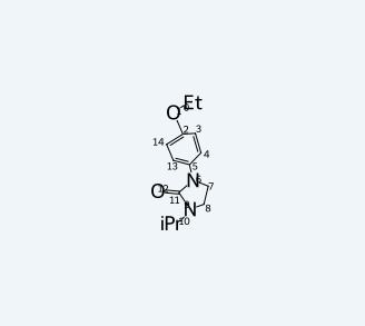 CCOc1ccc(N2CCN(C(C)C)C2=O)cc1